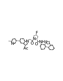 CC(=O)c1cn(CC(=O)N2C[C@H](F)C[C@H]2C(=O)Nc2cccc(-c3ccccc3Cl)c2F)c2ccc(-c3ccc(C)nc3)cc12